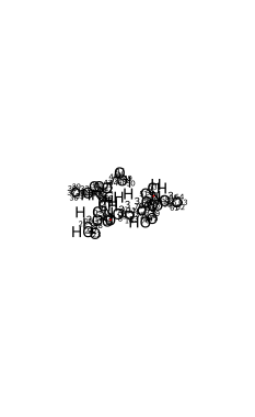 CC(C)[C@H](NC(=O)OCc1ccccc1)C(=O)OCC(CI)C(=O)O.CC(C)[C@H](NC(=O)OCc1ccccc1)C(=O)OCCCC(=O)OCI.CC(C)[C@H](NC(=O)OCc1ccccc1)C(=O)Oc1cccc(C(=O)O)c1CI